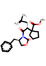 C=C(C)C[C@@H](C(=O)N1C(=O)OC[C@H]1Cc1ccccc1)C1(C(=O)OCCCC)CCCC1